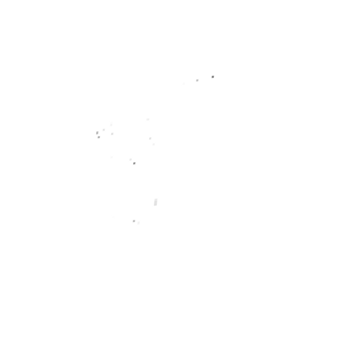 COC(=O)c1ccc(N2CC(CCC(C)(C)[Si](O)(c3ccccc3)c3ccccc3)NC2(C(=O)OC)C(=O)OC)cc1